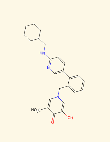 O=C(O)c1cn(Cc2ccccc2-c2ccc(NCC3CCCCC3)nc2)cc(O)c1=O